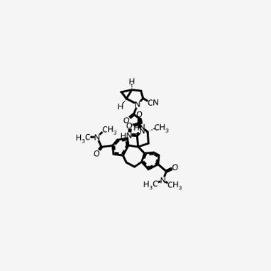 C[C@H](CC1(c2nc(=O)o[nH]2)c2ccc(C(=O)N(C)C)cc2CCc2cc(C(=O)N(C)C)ccc21)NCC(=O)N1C(C#N)C[C@@H]2C[C@@H]21